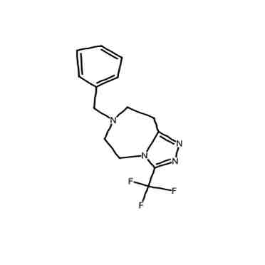 FC(F)(F)c1nnc2n1CCN(Cc1ccccc1)CC2